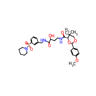 COc1ccc(C2OCC(C)(C)[C@H](C(=O)NCCC(O)C(=O)NCc3cccc(S(=O)(=O)N4CCCCC4)c3)O2)cc1